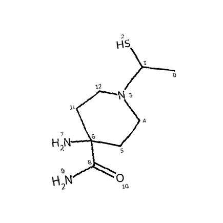 CC(S)N1CCC(N)(C(N)=O)CC1